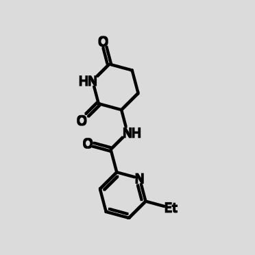 CCc1cccc(C(=O)NC2CCC(=O)NC2=O)n1